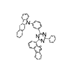 c1ccc(-c2nc(-c3cccc(-n4c5ccccc5c5cc6ccccc6cc54)c3)nc(-c3cccc4c3sc3ccccc34)n2)cc1